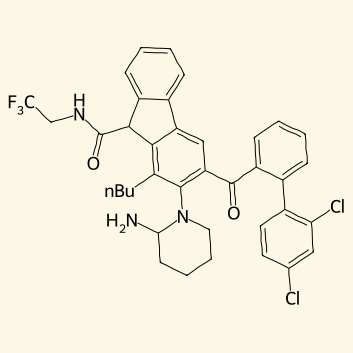 CCCCc1c2c(cc(C(=O)c3ccccc3-c3ccc(Cl)cc3Cl)c1N1CCCCC1N)-c1ccccc1C2C(=O)NCC(F)(F)F